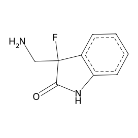 NCC1(F)C(=O)Nc2ccccc21